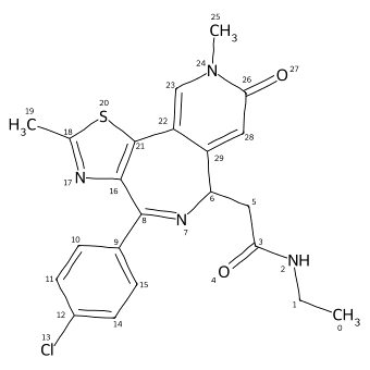 CCNC(=O)CC1N=C(c2ccc(Cl)cc2)c2nc(C)sc2-c2cn(C)c(=O)cc21